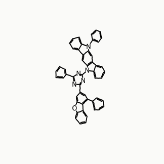 c1ccc(-c2nc(-c3cc(-c4ccccc4)c4c(c3)oc3ccccc34)nc(-n3c4ccccc4c4cc5c(cc43)c3ccccc3n5-c3ccccc3)n2)cc1